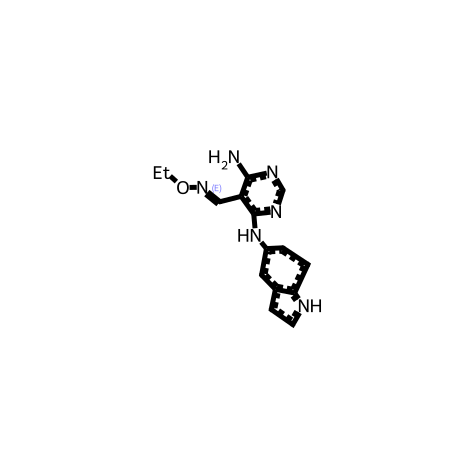 CCO/N=C/c1c(N)ncnc1Nc1ccc2[nH]ccc2c1